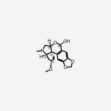 CO[C@@H]1C=C[C@@]23c4cc5c(cc4[C@H](O)O[C@H]2CN(C)[C@H]3C1)OCO5